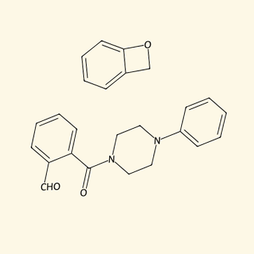 O=Cc1ccccc1C(=O)N1CCN(c2ccccc2)CC1.c1ccc2c(c1)CO2